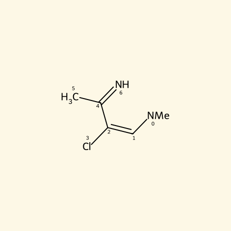 CN/C=C(/Cl)C(C)=N